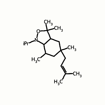 CC(C)=CCC1(C)CC(C)C2C(C1)C(C)(C)ON2C(C)C